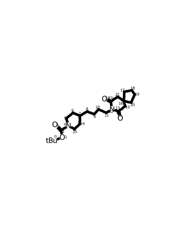 CC(C)(C)OC(=O)N1CCC(CCCCN2C(=O)CC3(CCCC3)CC2=O)CC1